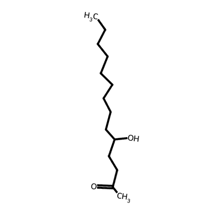 CCCCCCCCCC(O)CCC(C)=O